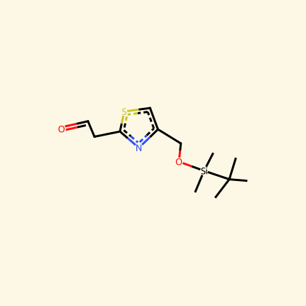 CC(C)(C)[Si](C)(C)OCc1csc(CC=O)n1